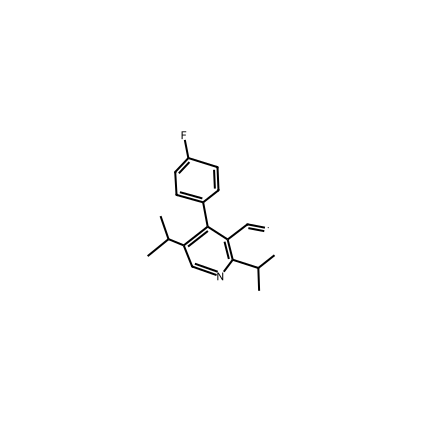 [CH]=Cc1c(C(C)C)ncc(C(C)C)c1-c1ccc(F)cc1